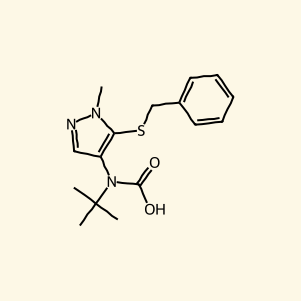 Cn1ncc(N(C(=O)O)C(C)(C)C)c1SCc1ccccc1